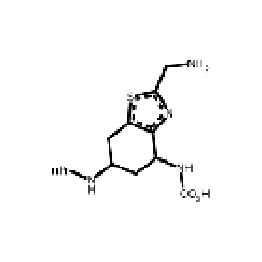 CCCNC1Cc2sc(CN)nc2C(NC(=O)O)C1